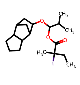 CCC(C)(I)C(=O)OC(OC1CC2CC1C1CCCC21)C(C)C